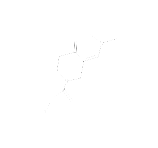 CC(C)OC(=O)N1CCC(=O)/C(=C\N(C)C)C1